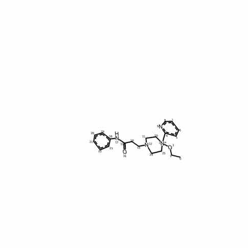 CCO[N+]1(c2ccccn2)CCN(CCC(=O)Nc2ccccc2)CC1